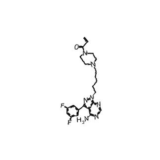 C=CC(=O)N1CCN(CCCCCn2nc(-c3cc(F)cc(F)c3)c3c(N)ncnc32)CC1